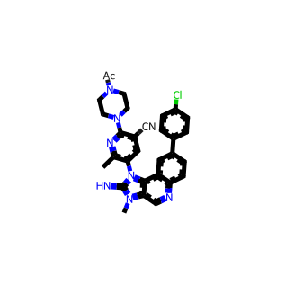 CC(=O)N1CCN(c2nc(C)c(-n3c(=N)n(C)c4cnc5ccc(-c6ccc(Cl)cc6)cc5c43)cc2C#N)CC1